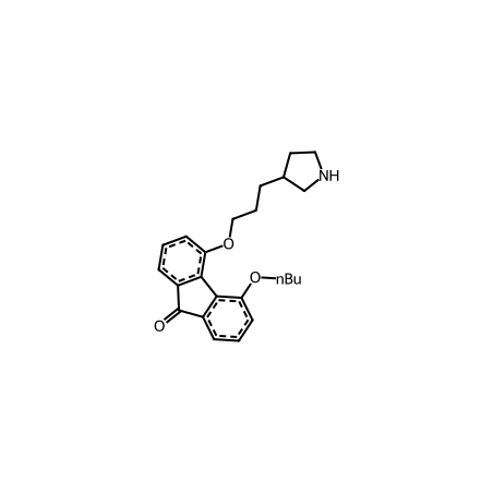 CCCCOc1cccc2c1-c1c(OCCCC3CCNC3)cccc1C2=O